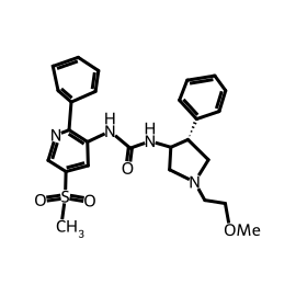 COCCN1CC(NC(=O)Nc2cc(S(C)(=O)=O)cnc2-c2ccccc2)[C@H](c2ccccc2)C1